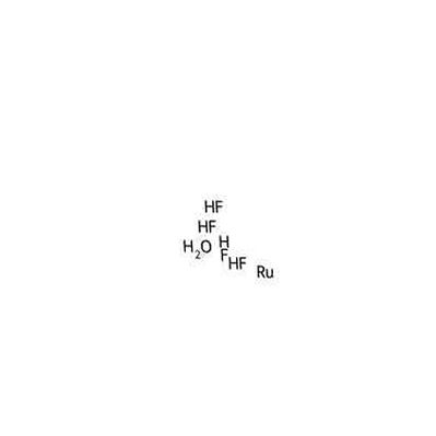 F.F.F.F.O.[Ru]